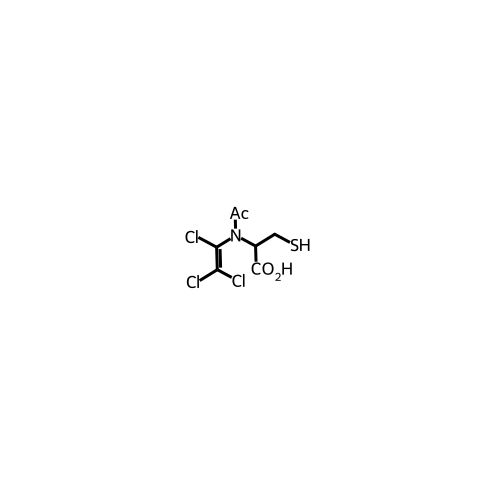 CC(=O)N(C(Cl)=C(Cl)Cl)C(CS)C(=O)O